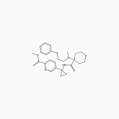 COC(=O)c1ccc(C2(NC(=O)C3(N(C)CCOc4ccccc4)CCOCC3)CC2)cn1